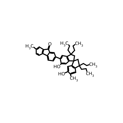 CCCC1(CCC)CC2(CC(CCC)(CCC)c3cc(-c4ccc5c(c4)C(=O)c4cc(C)ccc4-5)c(O)cc32)c2cc(O)c(C)cc21